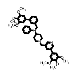 COc1cc(-c2cncc(CN3CCC(N(Cc4cccc(-c5cc(OC)c(OC)c(OC)c5)c4)c4ccccc4)CC3)c2)cc(OC)c1OC